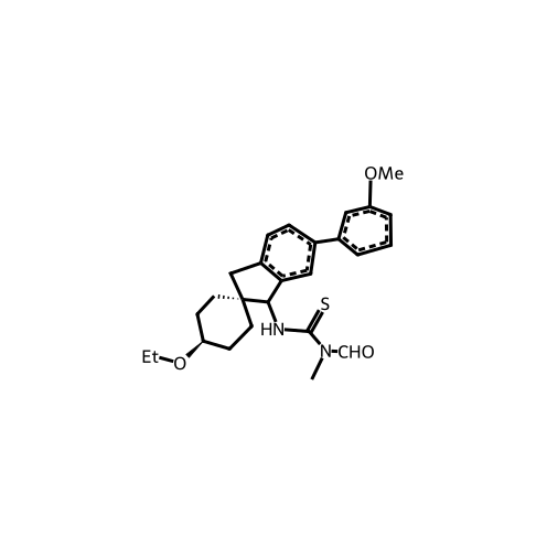 CCO[C@H]1CC[C@]2(CC1)Cc1ccc(-c3cccc(OC)c3)cc1C2NC(=S)N(C)C=O